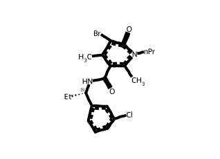 CCCn1c(C)c(C(=O)N[C@@H](CC)c2cccc(Cl)c2)c(C)c(Br)c1=O